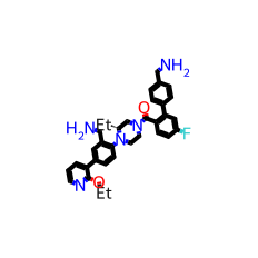 CCOc1ncccc1-c1ccc(N2CCN(C(=O)c3ccc(F)cc3-c3ccc(CN)cc3)C[C@H]2CC)c(CN)c1